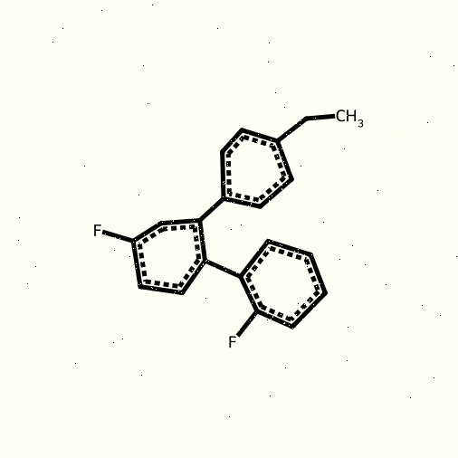 CCc1ccc(-c2cc(F)ccc2-c2ccccc2F)cc1